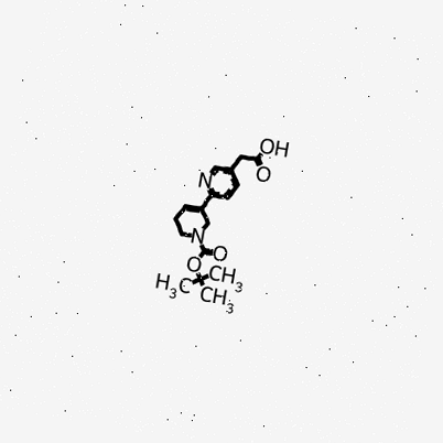 CC(C)(C)OC(=O)N1CCC=C(c2ccc(CC(=O)O)cn2)C1